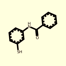 O=C(Nc1cccc(S)c1)c1ccccc1